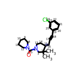 CC1(C)CN(C(=O)N2CCCCC2)CC/C1=C\C#Cc1cccc(Cl)c1